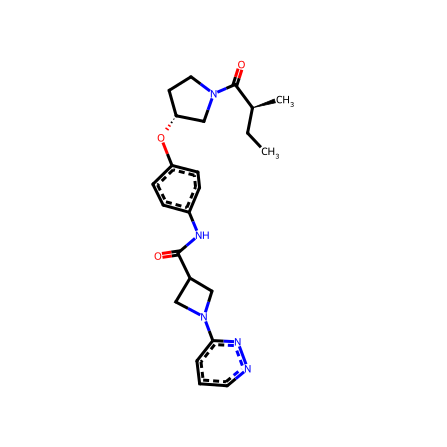 CC[C@H](C)C(=O)N1CC[C@@H](Oc2ccc(NC(=O)C3CN(c4cccnn4)C3)cc2)C1